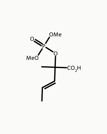 CC=CC(C)(OP(=O)(OC)OC)C(=O)O